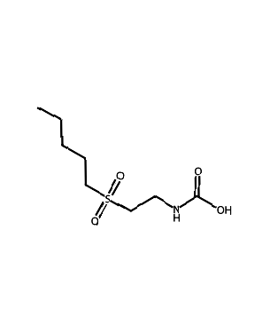 CCCCCS(=O)(=O)CCNC(=O)O